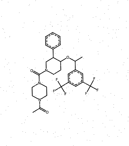 CC(=O)N1CCN(C(=O)N2CCC(OC(C)c3cc(C(F)(F)F)cc(C(F)(F)F)c3)C(c3ccccc3)C2)CC1